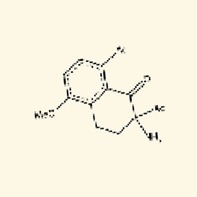 COc1ccc(C(C)=O)c2c1CCC(N)(C(C)=O)C2=O